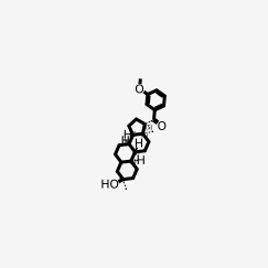 COc1cccc(C(=O)[C@H]2CC[C@H]3[C@@H]4CCC5C[C@](C)(O)CC[C@@H]5[C@H]4CC[C@]23C)c1